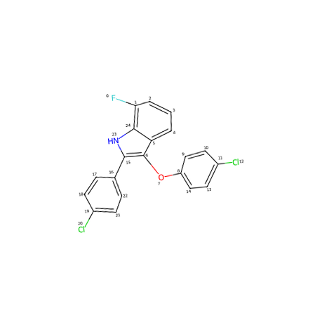 Fc1cccc2c(Oc3ccc(Cl)cc3)c(-c3ccc(Cl)cc3)[nH]c12